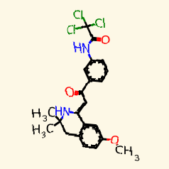 COc1ccc2c(c1)C(=CC(=O)c1cccc(NC(=O)C(Cl)(Cl)Cl)c1)NC(C)(C)C2